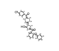 O=C(c1ccc(Cl)cc1)N1CCN(C2CN(C(=O)c3ccccc3Oc3ccccc3)CC2O)CC1